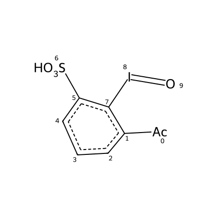 CC(=O)c1cccc(S(=O)(=O)O)c1I=O